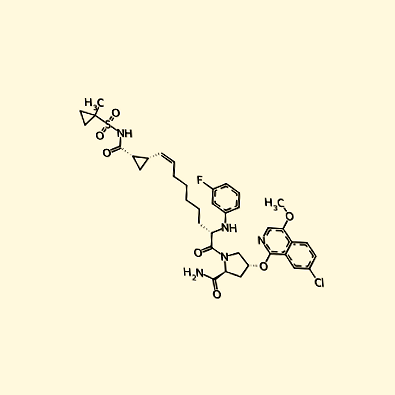 COc1cnc(O[C@@H]2C[C@@H](C(N)=O)N(C(=O)[C@H](CCCCC/C=C\[C@@H]3C[C@@H]3C(=O)NS(=O)(=O)C3(C)CC3)Nc3cccc(F)c3)C2)c2cc(Cl)ccc12